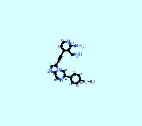 N=Cc1c(C#Cc2cnc3cnc(-c4ccc(C=O)cc4)cn23)ccnc1N